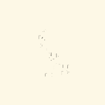 O=C(C=Cn1cnc(-c2cc(C(F)(F)F)cc(S(F)(F)(F)(F)F)c2)n1)NNC(=O)C1CCC1